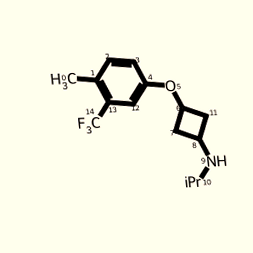 Cc1ccc(OC2CC(NC(C)C)C2)cc1C(F)(F)F